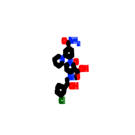 NC(=O)c1ccc(-n2ccc(NC[C@H](O)c3cccc(Cl)c3)c(C(=O)O)c2=O)c(N2CCCCC2)c1